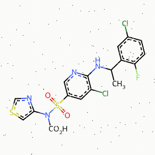 CC(Nc1ncc(S(=O)(=O)N(C(=O)O)c2cscn2)cc1Cl)c1cc(Cl)ccc1F